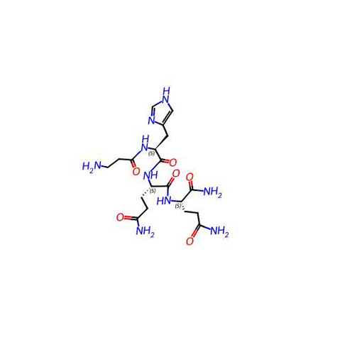 NCCC(=O)N[C@@H](Cc1c[nH]cn1)C(=O)N[C@@H](CCC(N)=O)C(=O)N[C@@H](CCC(N)=O)C(N)=O